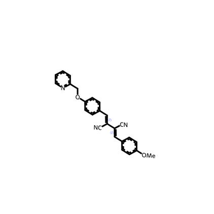 COc1ccc(/C=C(C#N)/C(C#N)=C/c2ccc(OCc3ccccn3)cc2)cc1